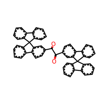 O=C(C(=O)c1ccc2c(c1)C1(c3ccccc3-c3ccccc31)c1ccccc1-2)c1ccc2c(c1)C1(c3ccccc3-c3ccccc31)c1ccccc1-2